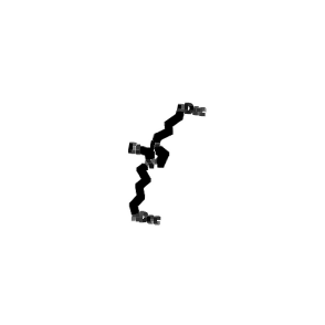 CCCCCCCCCCCCCCC[n+]1ccn(CCCCCCCCCCCCCC)c1CC